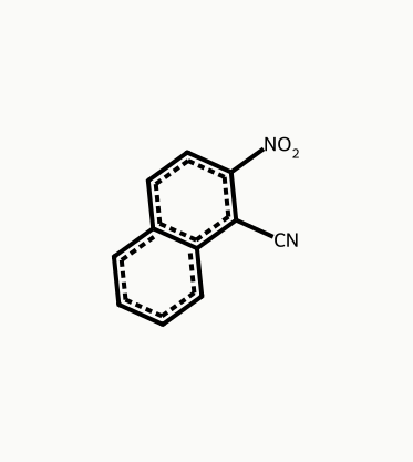 N#Cc1c([N+](=O)[O-])ccc2ccccc12